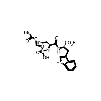 CCOC(=O)[C@H](Cc1c[nH]c2ccccc12)NC(=O)[C@H](CC(C)C)NP(=O)(O)OCOC(=O)C(C)(C)C